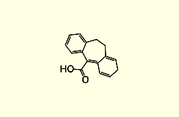 O=C(O)C1=C2C=CCC=C2CCc2ccccc21